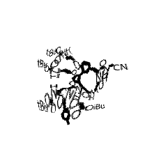 Cc1ccc(C(=O)N[C@@H](CCNC(=O)OC(C)(C)C)C(=O)N(C)[C@@H]2C(=O)N[C@@H](C)C(=O)N[C@H](C(=O)NCC#N)Cc3ccc(OCCNC(=O)OC(C)(C)C)c(c3)-c3cc2ccc3OCCNC(=O)OC(C)(C)C)c(OCC(=O)OCC(C)C)c1